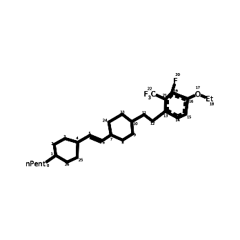 CCCCCC1CCC(/C=C/C2CCC(CCc3ccc(OCC)c(F)c3C(F)(F)F)CC2)CC1